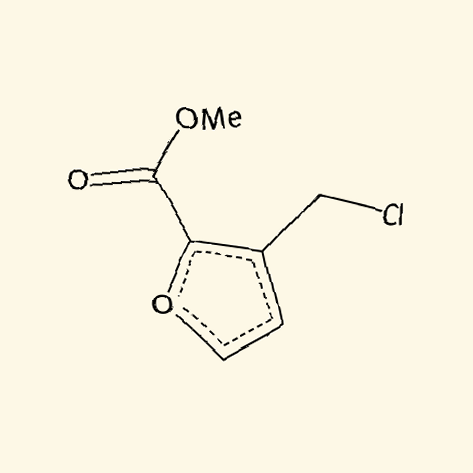 COC(=O)c1occc1CCl